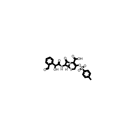 Cc1ccc(S(=O)(=O)OC2=C(C(=O)O)N3C(=O)C(NC(=O)C(O)c4ccccc4C=O)[C@@H]3SC2)cc1